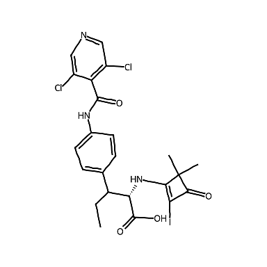 CCC(c1ccc(NC(=O)c2c(Cl)cncc2Cl)cc1)[C@H](NC1=C(I)C(=O)C1(C)C)C(=O)O